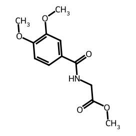 COC(=O)CNC(=O)c1ccc(OC)c(OC)c1